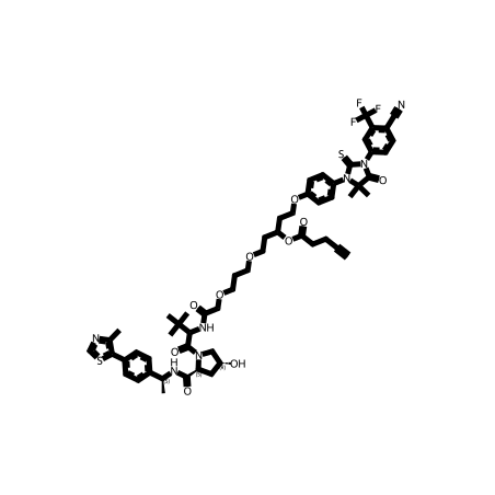 C#CCCC(=O)OC(CCOCCCOCC(=O)NC(C(=O)N1C[C@H](O)C[C@H]1C(=O)N[C@@H](C)c1ccc(-c2scnc2C)cc1)C(C)(C)C)CCOc1ccc(N2C(=S)N(c3ccc(C#N)c(C(F)(F)F)c3)C(=O)C2(C)C)cc1